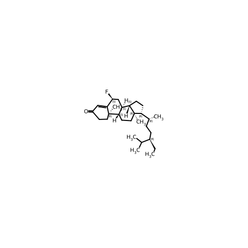 CC[C@H](CC[C@@H](C)[C@H]1CC[C@H]2[C@@H]3C[C@H](F)C4=CC(=O)CC[C@]4(C)[C@H]3CC[C@]12C)C(C)C